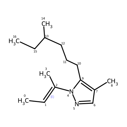 C/C=C(\C)n1ncc(C)c1CCCC(C)CC